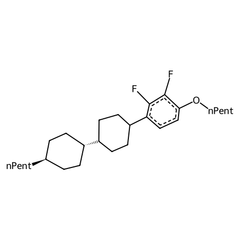 CCCCCOc1ccc(C2CCC([C@H]3CC[C@H](CCCCC)CC3)CC2)c(F)c1F